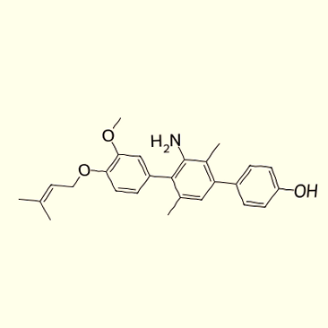 COc1cc(-c2c(C)cc(-c3ccc(O)cc3)c(C)c2N)ccc1OCC=C(C)C